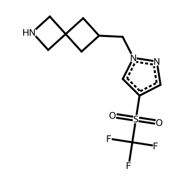 O=S(=O)(c1cnn(CC2CC3(CNC3)C2)c1)C(F)(F)F